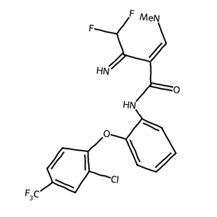 CN/C=C(\C(=N)C(F)F)C(=O)Nc1ccccc1Oc1ccc(C(F)(F)F)cc1Cl